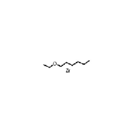 CCCCCCOCC.[Zr]